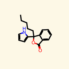 CCCCCC1(c2ccc[nH]2)OC(=O)c2ccccc21